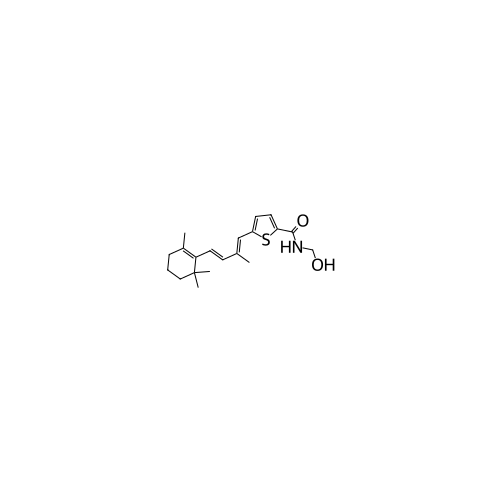 CC(C=CC1=C(C)CCCC1(C)C)=Cc1ccc(C(=O)NCO)s1